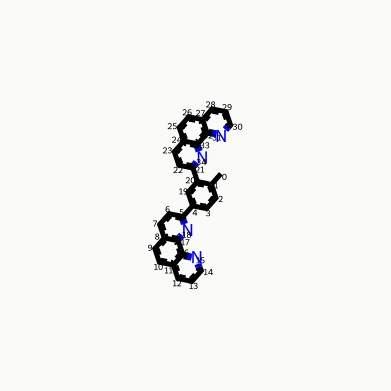 Cc1ccc(-c2ccc3ccc4cccnc4c3n2)cc1-c1ccc2ccc3cccnc3c2n1